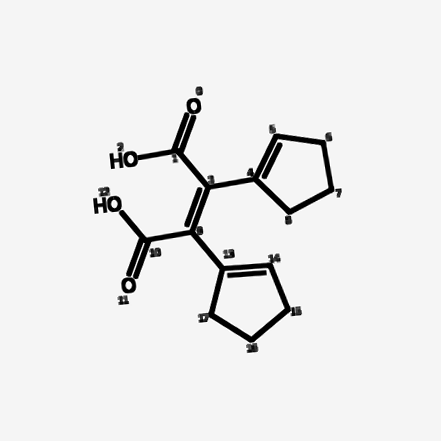 O=C(O)/C(C1=CCCC1)=C(\C(=O)O)C1=CCCC1